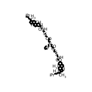 CC(C)CCCCC1CCC2[C@@H]3CC=C4CC(OC(=O)NCCSSCCOC(=O)CCN(CCC(=O)OCCSSCCNC(=O)O[C@H]5CC[C@@]6(C)C(=CCC7C6CC[C@]6(C)C([C@H](C)CCCC(C)C)CC[C@@H]76)C5)CCN5CCCC5)CC[C@]4(C)C3CC[C@]12C